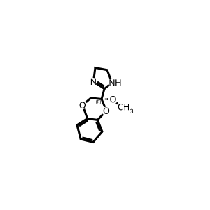 CO[C@@]1(C2=NCCN2)COc2ccccc2O1